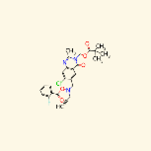 C#CCN(Cc1cc2c(=O)n(COC(=O)C(C)(C)C)c(C)nc2cc1Cl)OC(=O)c1ccccc1F